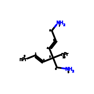 CCCC=CC(C=CCN)(CN)CCC